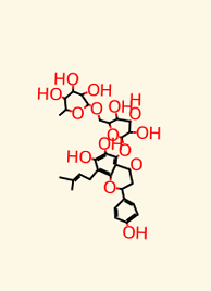 CC(C)=CCc1c(O)c(O)c(OC2OC(COC3OC(C)C(O)C(O)C3O)C(O)C(O)C2O)c2c1OC(c1ccc(O)cc1)CC2=O